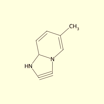 CC1=CN2C#CNC2C=C1